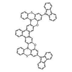 c1ccc2c(c1)Sc1cc(-n3c4ccccc4c4ccccc43)cc3c1B2c1cc2c4ccccc4c4cc5c(cc4c2cc1O3)Oc1cc(-n2c3ccccc3c3ccccc32)cc2c1B5c1ccccc1S2